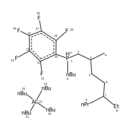 CCCC[PH+](CC(C)CCC(CC)CCC)c1c(F)c(F)c(F)c(F)c1F.CCC[CH2][Al-]([CH2]CCC)([CH2]CCC)[CH2]CCC